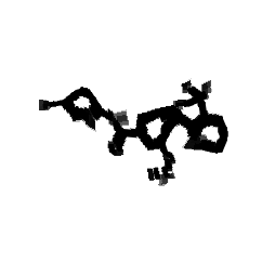 COc1cc(C(=O)Nc2ccc(Br)cn2)ccc1-c1ncccc1C(F)(F)F